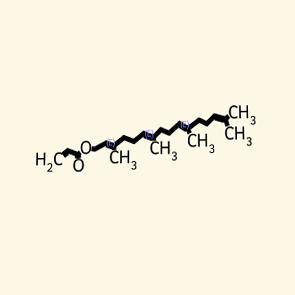 C=CC(=O)OC/C=C(\C)CC/C=C(\C)CC/C=C(\C)CCC=C(C)C